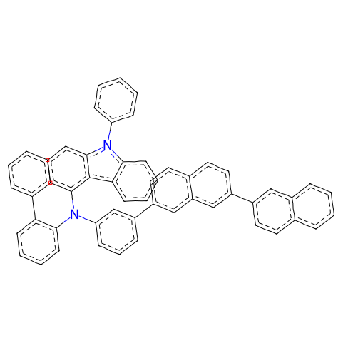 c1ccc(-c2ccccc2N(c2cccc(-c3ccc4ccc(-c5ccc6ccccc6c5)cc4c3)c2)c2cccc3c2c2ccccc2n3-c2ccccc2)cc1